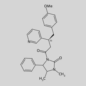 COc1ccc(C[C@@H](CC(=O)N2C(=O)N(C)C(C)C2c2ccccc2)c2cccnc2)cc1